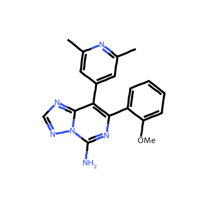 COc1ccccc1-c1nc(N)n2ncnc2c1-c1cc(C)nc(C)c1